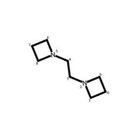 C1CN(CCN2CCC2)C1